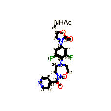 CC(=O)NC[C@H]1CN(c2cc(F)c(N3CCON(C(=O)c4ccncc4)CC3)c(F)c2)C(=O)O1